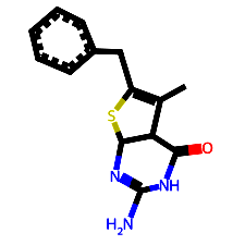 CC1=C(Cc2ccccc2)SC2N=C(N)NC(=O)C12